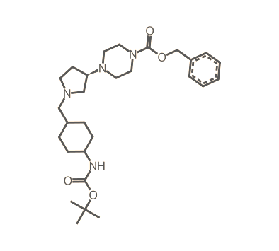 CC(C)(C)OC(=O)NC1CCC(CN2CC[C@@H](N3CCN(C(=O)OCc4ccccc4)CC3)C2)CC1